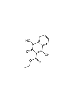 CCOC(=O)c1c(O)c2ccccc2n(O)c1=O